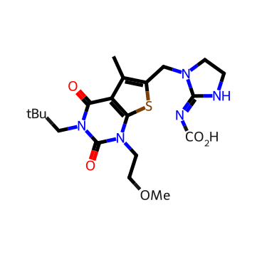 COCCn1c(=O)n(CC(C)(C)C)c(=O)c2c(C)c(CN3CCN/C3=N\C(=O)O)sc21